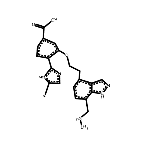 CNCc1ccc(CCOc2cc(C(=O)O)ccc2-c2ncc(F)[nH]2)c2cn[nH]c12